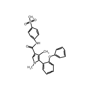 Cc1c(C(=O)Nc2ccc(S(C)(=O)=O)cc2)cn(C)c1-c1ccccc1Oc1ccccc1